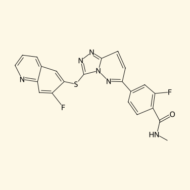 CNC(=O)c1ccc(-c2ccc3nnc(Sc4cc5cccnc5cc4F)n3n2)cc1F